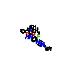 Cc1cc(-c2ccccc2)c(C(=O)C(=O)Nc2ccc(N3CCN(CC(C)C)CC3)c(F)c2)n1C